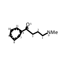 CNCCCC(=O)c1ccccc1